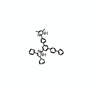 CC1=CC(C)NC(c2ccc(-c3cc(C4=NC(c5ccccc5)=CC(C5C=CC=CC5)N4)cc(-c4ccc(-c5ccccc5)cc4)c3)cc2)=N1